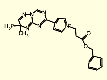 CC1(P)C=NN2C=NC(c3cc[n+](CCC(=O)OCc4ccccc4)cc3)=NC2=N1